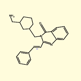 NCC1CCCC(Cn2c(/C=C/c3ccccc3)nc3ccccc3c2=O)C1